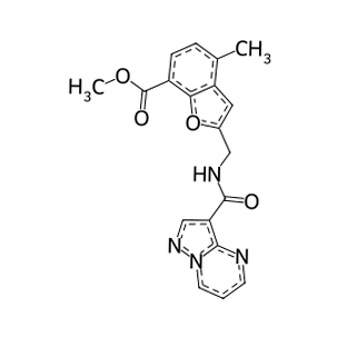 COC(=O)c1ccc(C)c2cc(CNC(=O)c3cnn4cccnc34)oc12